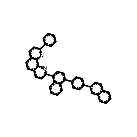 c1ccc(-c2ccc3ccc4ccc(-c5ccc(-c6ccc(-c7ccc8ccccc8c7)cc6)c6ccccc56)nc4c3n2)cc1